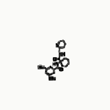 CC(C)(C)c1cc(C(=O)NC2(C(=O)NCC3=CCCC=N3)CCCCC2)cc(C(C)(C)C)c1